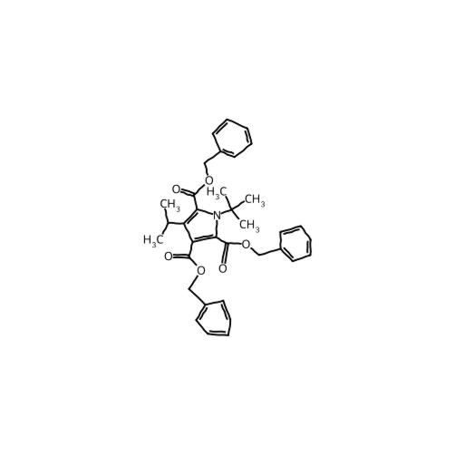 CC(C)c1c(C(=O)OCc2ccccc2)c(C(=O)OCc2ccccc2)n(C(C)(C)C)c1C(=O)OCc1ccccc1